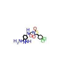 Nc1n[nH]c2cc(NC(=O)CN3C(=O)SC(=C4CCC(Cl)(Cl)CC4)C3=O)ccc12